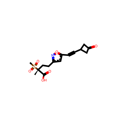 C[C@@](CCc1cc(C#CC2CC(=O)C2)on1)(C(=O)O)S(C)(=O)=O